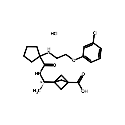 C[C@H](NC(=O)C1(NCCOc2cccc(Cl)c2)CCCC1)C12CC(C(=O)O)(C1)C2.Cl